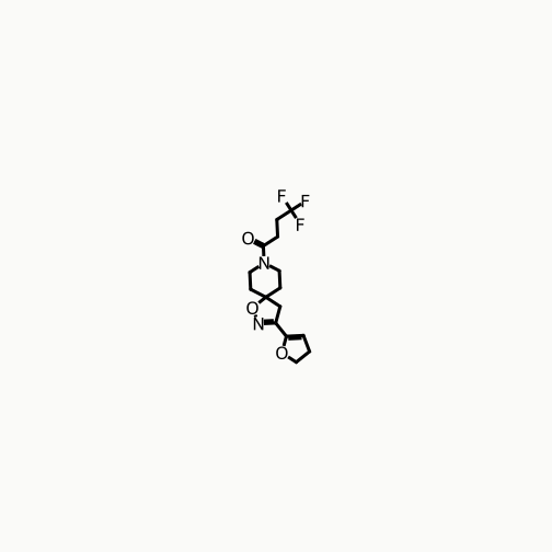 O=C(CCC(F)(F)F)N1CCC2(CC1)CC(C1=CCCO1)=NO2